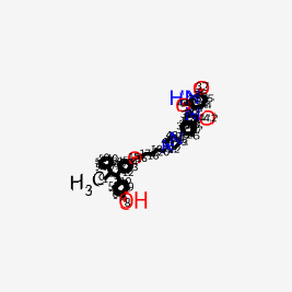 CC/C(=C(\c1ccc(O)cc1)c1ccc(OCCCCCN2CCN(c3ccc4c(c3)CN([C@H]3CCC(=O)NC3=O)C4=O)CC2)cc1)c1ccccc1